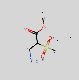 COC(=O)C(CN)S(C)(=O)=O